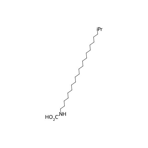 CC(C)CCCCCCCCCCCCCCCCCCCCNC(=O)O